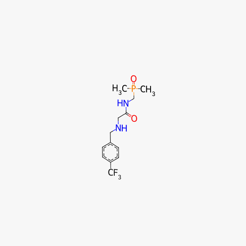 CP(C)(=O)CNC(=O)CNCc1ccc(C(F)(F)F)cc1